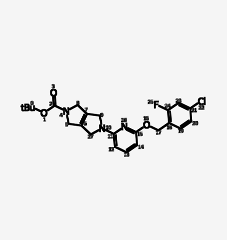 CC(C)(C)OC(=O)N1CC2=C(C1)CN(c1cccc(OCc3ccc(Cl)cc3F)n1)C2